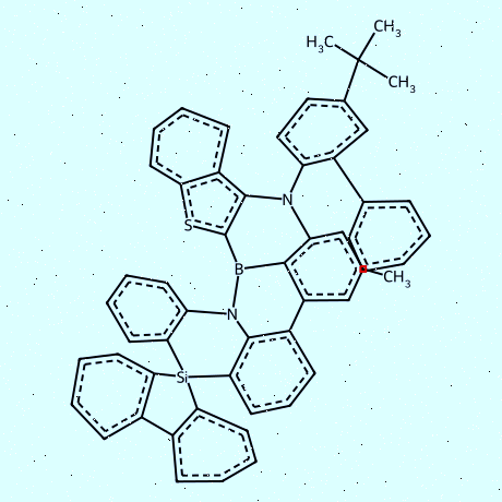 Cc1cc2c3c(c1)N(c1ccc(C(C)(C)C)cc1-c1ccccc1)c1c(sc4ccccc14)B3N1c3ccccc3[Si]3(c4ccccc4-c4ccccc43)c3cccc-2c31